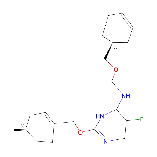 C[C@H]1CC=C(COC2=NCC(F)C(NCOC[C@@H]3CC=CCC3)N2)CC1